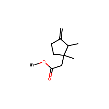 C=C1CCC(C)(CC(=O)OC(C)C)C1C